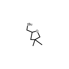 CC(C)(C)CC1CC(C)(C)CO1